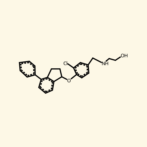 OCCNCc1ccc(OC2CCc3c(-c4ccccc4)cccc32)c(Cl)c1